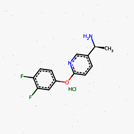 C[C@H](N)c1ccc(Oc2ccc(F)c(F)c2)nc1.Cl